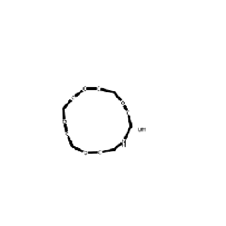 C1COCCOCCOCCOCCN1.[LiH]